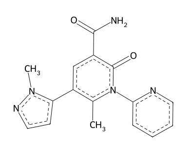 Cc1c(-c2ccnn2C)cc(C(N)=O)c(=O)n1-c1ccccn1